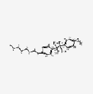 CCCCCCCCc1ccc(C(F)(F)C(F)(F)c2ccc(SF)cc2)cc1